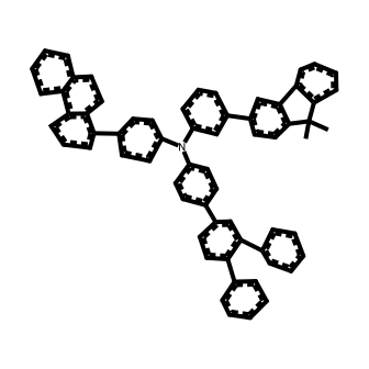 CC1(C)c2ccccc2-c2cc(-c3cccc(N(c4ccc(-c5ccc(-c6ccccc6)c(-c6ccccc6)c5)cc4)c4ccc(-c5cccc6c5ccc5ccccc56)cc4)c3)ccc21